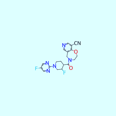 N#Cc1cncc2c1OCCN(C(=O)C1CCN(c3ncc(F)cn3)C[C@@H]1F)C2